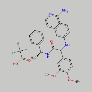 CCOc1cc(C(Nc2ccc3c(N)nccc3c2)C(=O)N[C@@H](C)c2ccccc2)ccc1OC(C)C.O=C(O)C(F)(F)F